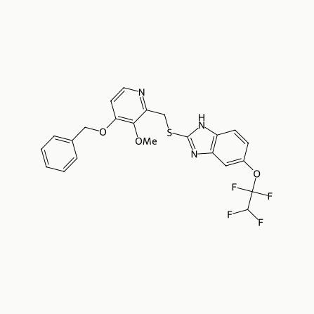 COc1c(OCc2ccccc2)ccnc1CSc1nc2cc(OC(F)(F)C(F)F)ccc2[nH]1